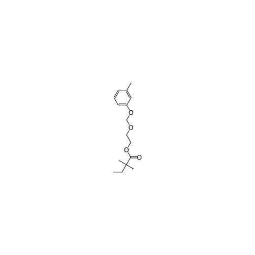 CCC(C)(C)C(=O)OCCOCOc1cccc(C)c1